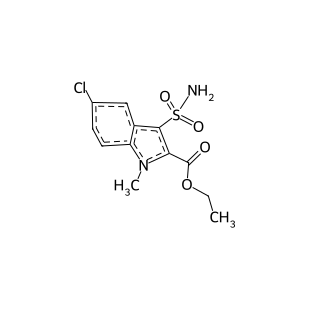 CCOC(=O)c1c(S(N)(=O)=O)c2cc(Cl)ccc2n1C